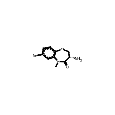 CC(=O)c1ccc2c(c1)N(C)C(=O)[C@@H](N)CO2